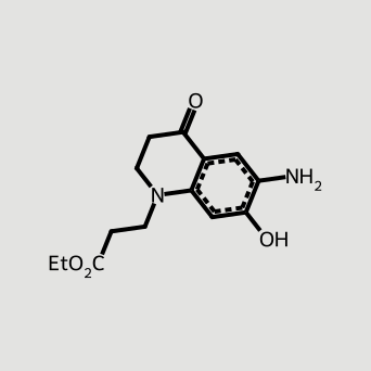 CCOC(=O)CCN1CCC(=O)c2cc(N)c(O)cc21